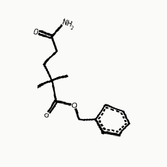 CC(C)(CCC(N)=O)C(=O)OCc1ccccc1